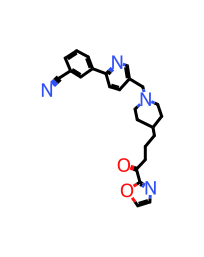 N#Cc1cccc(-c2ccc(CN3CCC(CCCC(=O)c4ncco4)CC3)cn2)c1